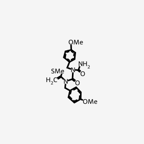 C=C(SC)N(Cc1ccc(OC)cc1)C(=O)N(Cc1ccc(OC)cc1)C(N)=O